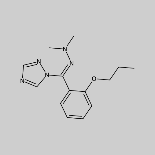 CCCOc1ccccc1C(=NN(C)C)n1cncn1